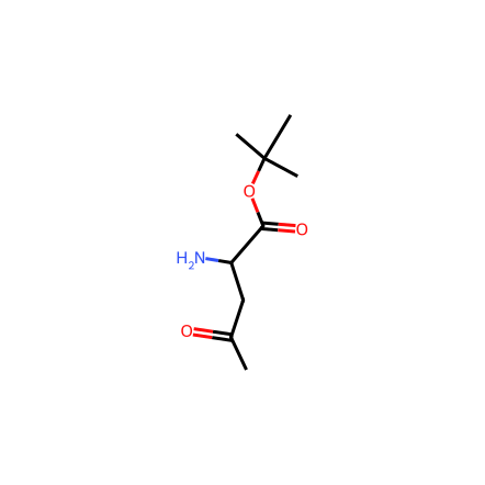 CC(=O)CC(N)C(=O)OC(C)(C)C